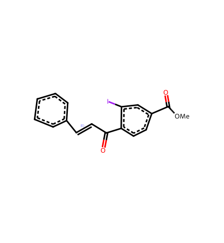 COC(=O)c1ccc(C(=O)/C=C/c2ccccc2)c(I)c1